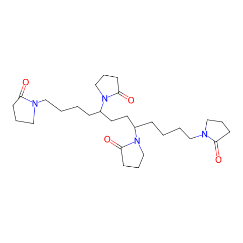 O=C1CCCN1CCCCC(CCC(CCCCN1CCCC1=O)N1CCCC1=O)N1CCCC1=O